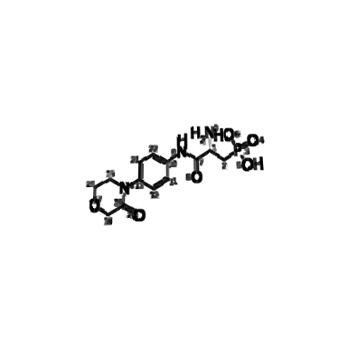 N[C@H](CP(=O)(O)O)C(=O)Nc1ccc(N2CCOCC2=O)cc1